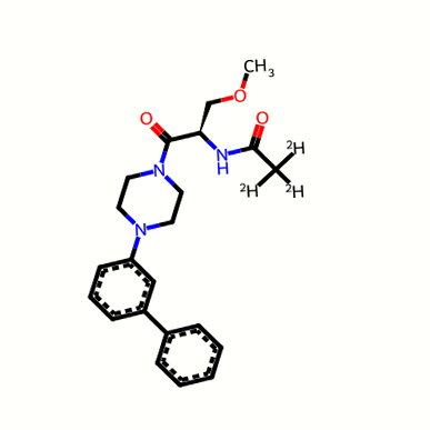 [2H]C([2H])([2H])C(=O)N[C@H](COC)C(=O)N1CCN(c2cccc(-c3ccccc3)c2)CC1